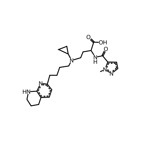 Cn1nccc1C(=O)NC(CCN(CCCCc1ccc2c(n1)NCCC2)C1CC1)C(=O)O